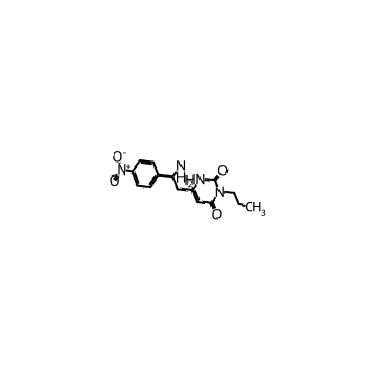 CCCn1c(=O)cc(CC(N)c2ccc([N+](=O)[O-])cc2)[nH]c1=O